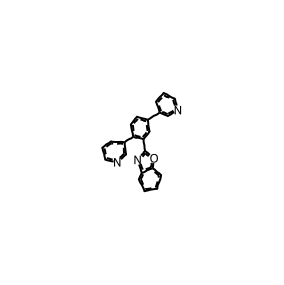 c1cncc(-c2ccc(-c3cccnc3)c(-c3nc4ccccc4o3)c2)c1